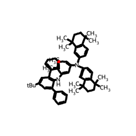 CC1C=C(N(c2ccc3c(c2)C(C)(C)CCC3(C)C)c2ccc3c(c2)C(C)(C)CCC3(C)C)C=C(Nc2c(C3=CCCC=C3)cc(C(C)(C)C)cc2-c2ccccc2)C1C